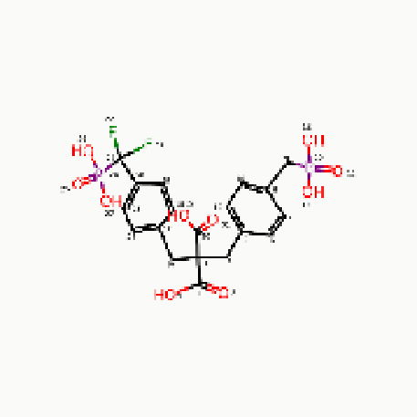 O=C(O)C(Cc1ccc(CP(=O)(O)O)cc1)(Cc1ccc(C(F)(F)P(=O)(O)O)cc1)C(=O)O